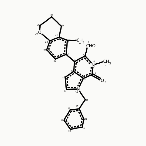 Cc1c(-c2c(C=O)n(C)c(=O)c3c2ccn3Cc2ccccc2)ccc2c1CCCO2